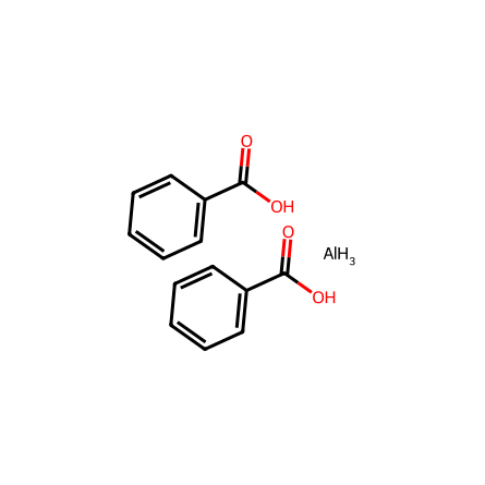 O=C(O)c1ccccc1.O=C(O)c1ccccc1.[AlH3]